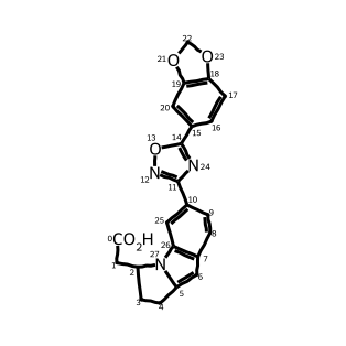 O=C(O)CC1CCc2cc3ccc(-c4noc(-c5ccc6c(c5)OCO6)n4)cc3n21